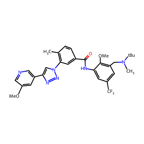 COc1cncc(-c2cn(-c3cc(C(=O)Nc4cc(C(F)(F)F)cc(CN(C)C(C)(C)C)c4OC)ccc3C)nn2)c1